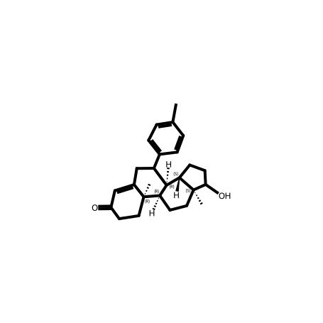 Cc1ccc(C2CC3=CC(=O)CC[C@]3(C)[C@@H]3CC[C@]4(C)C(O)CC[C@H]4[C@H]23)cc1